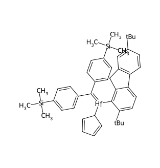 CC(C)(C)c1ccc2c(c1)Cc1c-2ccc(C(C)(C)C)[c]1[Hf](=[C](c1ccc([Si](C)(C)C)cc1)c1ccc([Si](C)(C)C)cc1)[CH]1C=CC=C1